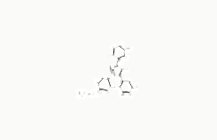 COc1ccc(-n2nc(-c3ccccc3)[c]c2-c2ccccc2)cc1